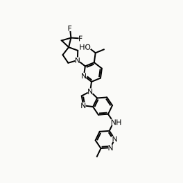 Cc1ccc(Nc2ccc3c(c2)ncn3-c2ccc(C(C)O)c(N3CCC4(C3)CC4(F)F)n2)nn1